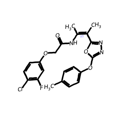 C/C(NC(=O)COc1ccc(Cl)c(F)c1)=C(\C)c1nnc(Oc2ccc(C)cc2)o1